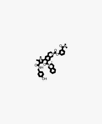 Cc1c(C(=O)NCc2ccc(O)cc2)cc(-c2cc3c(cc2C(=O)N2Cc4ccccc4C[C@H]2C)CN(C(=O)Oc2cccc(C(=O)N(C)C)c2)CC3)n1C